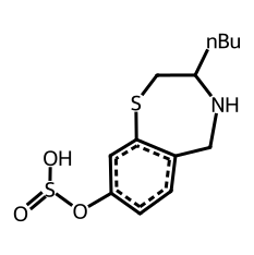 CCCCC1CSc2cc(OS(=O)O)ccc2CN1